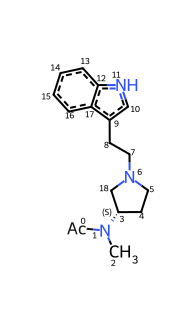 CC(=O)N(C)[C@H]1CCN(CCc2c[nH]c3ccccc23)C1